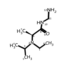 CCN(C(C)C)[C@@H](C)C(=O)NCN